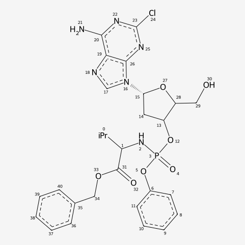 CC(C)C(NP(=O)(Oc1ccccc1)OC1C[C@H](n2cnc3c(N)nc(Cl)nc32)OC1CO)C(=O)OCc1ccccc1